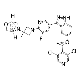 C[C@@H](Oc1ccc2[nH]nc(-c3cnc(N4CC(C)(N5C[C@H]6C[C@@H]5CO6)C4)c(F)c3)c2c1)c1c(Cl)cncc1Cl